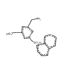 NCc1cc(S(=O)(=O)O)cc(S(=O)(=O)O)c1.c1ccc2ccccc2c1